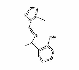 COc1ccccc1C(C)/N=C/c1nccn1C